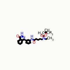 CCN(CCCCC(=O)Nc1cccc(-c2n[nH]c(=O)c3ccccc23)c1)C(=O)OC(C)(C)C